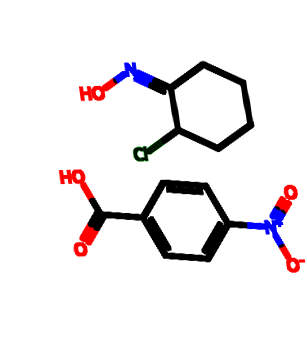 O/N=C1/CCCCC1Cl.O=C(O)c1ccc([N+](=O)[O-])cc1